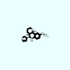 FC(F)(F)Oc1ccc2c(c1)[C@H]1OCCC[C@H]1[C@H](C1C=CSC1)N2